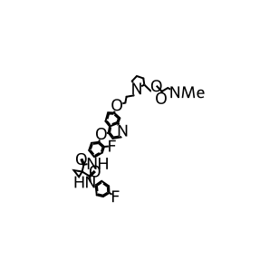 CNCC(=O)OCC1CCCN1CCCOc1ccc2c(Oc3ccc(NC(=O)C4(C(=O)Nc5ccc(F)cc5)CC4)cc3F)ccnc2c1